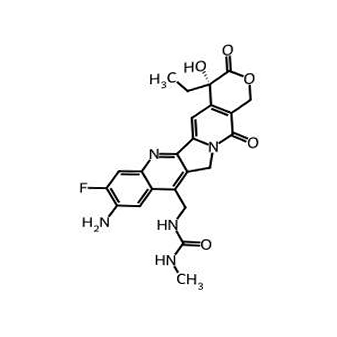 CC[C@@]1(O)C(=O)OCc2c1cc1n(c2=O)Cc2c-1nc1cc(F)c(N)cc1c2CNC(=O)NC